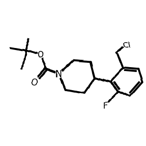 CC(C)(C)OC(=O)N1CCC(c2c(F)cccc2CCl)CC1